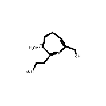 CNCCC1=NC(CO)=CCC[C@H]1C